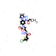 CCC(=O)Nc1cc(N2CC(CNC(=O)c3ccc(Cl)s3)OC2=O)ccc1N1CCCC1